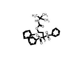 CC(C)(C)NC(=O)O[C@@H](Cc1ccccc1)CC(F)(S(=O)(=O)c1ccccc1)S(=O)(=O)c1ccccc1